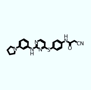 N#CCC(=O)Nc1ccc(Sc2ccnc(Nc3cccc(N4CCCC4)c3)n2)cc1